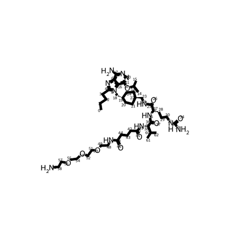 CCCCc1nc2c(N)nnc(OC(C)C)c2n1C[C@H]1CC[C@H](CNC(=O)[C@H](CCCNC(N)=O)NC(=O)[C@@H](NC(=O)CCCC(=O)NCCOCCOCCOCCN)C(C)C)CC1